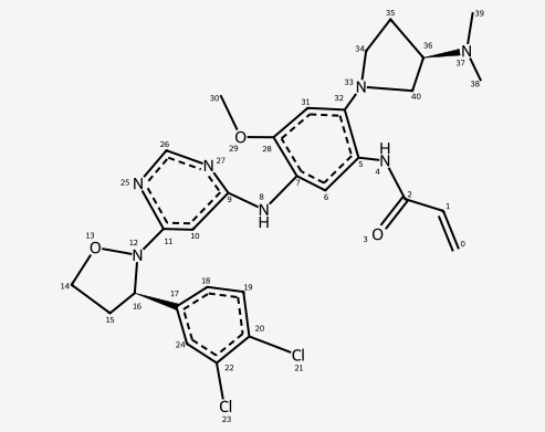 C=CC(=O)Nc1cc(Nc2cc(N3OCC[C@@H]3c3ccc(Cl)c(Cl)c3)ncn2)c(OC)cc1N1CC[C@@H](N(C)C)C1